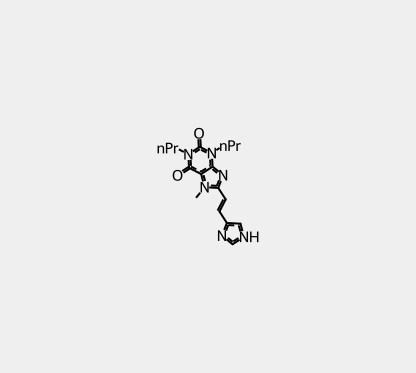 CCCn1c(=O)c2c(nc(C=Cc3c[nH]cn3)n2C)n(CCC)c1=O